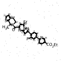 CCOC(=O)c1ccc(-c2ccc(-c3cc4nc(C(=O)N5CCc6ccsc6C5C)cc(CC)n4n3)c(F)c2)nc1